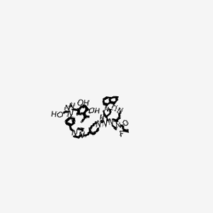 C=C(F)C(=O)N1CCN(c2nc(N3CCC(CN4CCN(Cc5ccc(-n6c(O)nnc6-c6cc(C(C)C)c(O)cc6O)cc5)CC4)CC3)nc3c2CCN(c2cccc4cccc(Cl)c24)C3)CC1CC#N